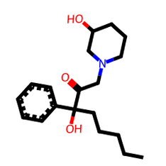 CCCCCC(O)(C(=O)CN1CCCC(O)C1)c1ccccc1